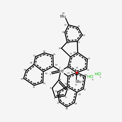 Cl.Cl.[CH2]=[Hf]([C]1=CC=CC1)([c]1c(C(C)(C)C)ccc2c1Cc1cc(C(C)(C)C)ccc1-2)([c]1cccc2ccccc12)[c]1cccc2ccccc12